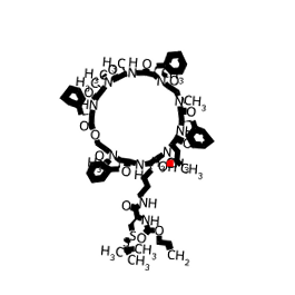 C=CCOC(=O)N[C@@H](CSSC(C)(C)C)C(=O)NCCCC[C@@H]1NC(=O)[C@H](Cc2ccccc2)N(C)C(=O)COC(=O)[C@H](Cc2ccccc2)NC(=O)[C@H](C)N(C)C(=O)[C@H](C)NC(=O)[C@H](Cc2ccccc2)N(C)C(=O)CN(C)C(=O)[C@H](Cc2ccccc2)NC(=O)C(CC(C)C)N(C)C1O